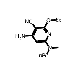 CCCN(C)c1cc(N)c(C#N)c(OCC)n1